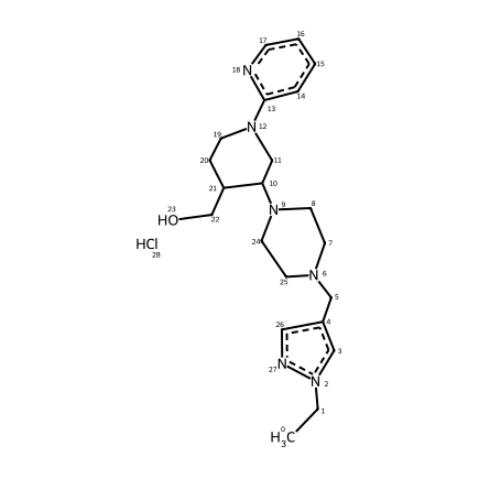 CCn1cc(CN2CCN(C3CN(c4ccccn4)CCC3CO)CC2)cn1.Cl